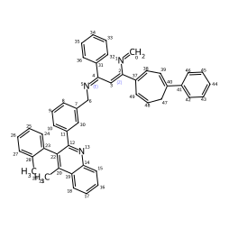 C=N/C(=C\C(=N/Cc1cccc(-c2nc3ccccc3c(C)c2-c2ccccc2C)c1)c1ccccc1)C1=CC=C(c2ccccc2)CC=C1